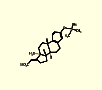 CCOC(=O)/C=C1\CC[C@H]2[C@@H]3CCc4cc(O[Si](C)(C)C(C)(C)C)ccc4[C@H]3CC[C@]12C